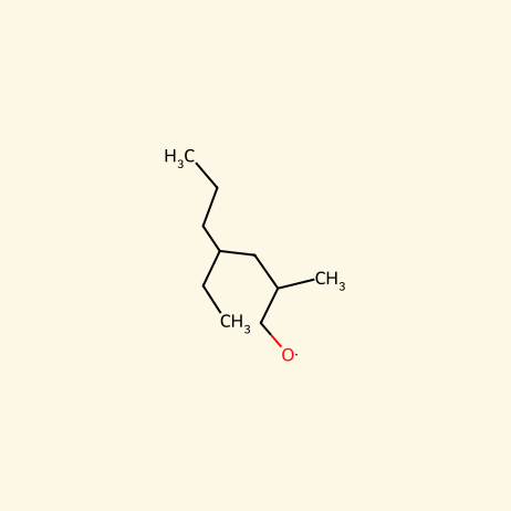 CCCC(CC)CC(C)C[O]